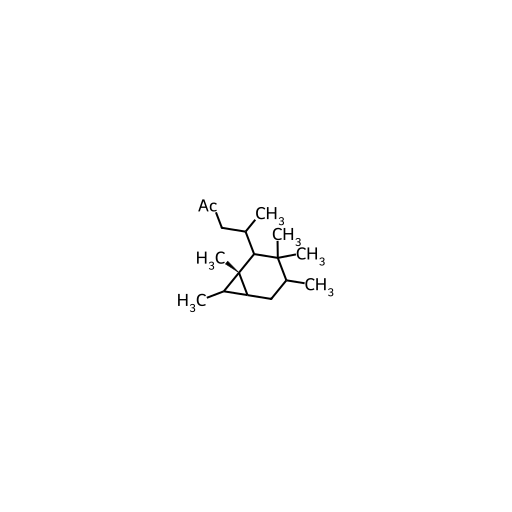 CC(=O)CC(C)C1C(C)(C)C(C)CC2C(C)[C@@]21C